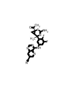 CC(=O)[C@]12CC1[C@@](C)(c1cc(Nc3ncnc4cc(C#N)cnc34)cc(F)c1F)N=C(N)S2